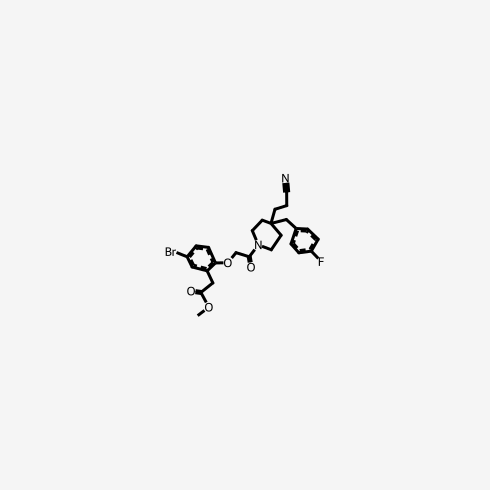 COC(=O)Cc1cc(Br)ccc1OCC(=O)N1CCC(CCC#N)(Cc2ccc(F)cc2)CC1